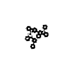 c1ccc(-c2cccc(-c3nc(-n4c5ccccc5c5ccc(-c6cc7c(c8ccccc68)c6ccccc6n7-c6ccccc6)cc54)nc4ccccc34)c2)cc1